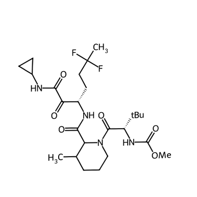 COC(=O)N[C@H](C(=O)N1CCCC(C)C1C(=O)N[C@@H](CCC(C)(F)F)C(=O)C(=O)NC1CC1)C(C)(C)C